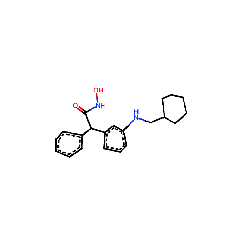 O=C(NO)C(c1ccccc1)c1cccc(NCC2CCCCC2)c1